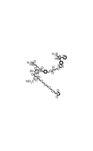 CC(C)[C@H](NC(=O)[C@H](CCC(=O)O)NC(=O)CCOCCOCCOCCOCCN1C(=O)C=CC1=O)C(=O)N[C@@H](CCCNC(N)=O)C(=O)Nc1ccc(COC(=O)NCCOc2cnc3ccc(-c4[nH]c(CN)nc4-c4ccccn4)cc3n2)cc1